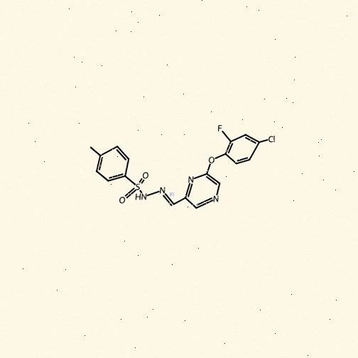 Cc1ccc(S(=O)(=O)N/N=C/c2cncc(Oc3ccc(Cl)cc3F)n2)cc1